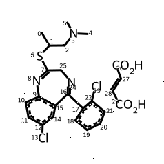 CC(CN(C)C)SC1=Nc2ccc(Cl)cc2C(c2ccccc2Cl)=NC1.O=C(O)/C=C/C(=O)O